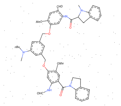 CCCCN(C)c1cc(COc2cc(NC(=O)C3Cc4ccccc4N3C)c(C=O)cc2OC)cc(COc2cc(NC=O)c(C(=O)N3CCc4ccccc43)cc2OC)c1